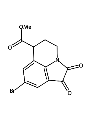 COC(=O)C1CCN2C(=O)C(=O)c3cc(Br)cc1c32